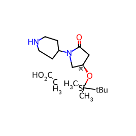 CC(=O)O.CC(C)(C)[Si](C)(C)O[C@@H]1CC(=O)N(C2CCNCC2)C1